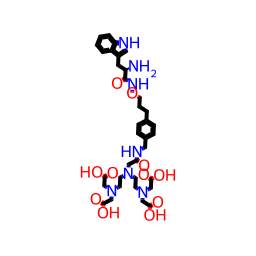 N[C@H](Cc1c[nH]c2ccccc12)C(=O)NOCCCc1ccc(CNC(=O)CN(CCN(CC(=O)O)CC(=O)O)CCN(CC(=O)O)CC(=O)O)cc1